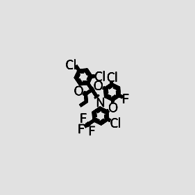 CCC(=O)C(C#N)(Oc1cc(Oc2ccc(C(F)(F)F)cc2Cl)c(F)cc1Cl)c1ccc(Cl)cc1Cl